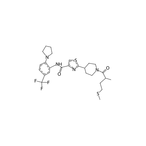 CSCCC(C)C(=O)N1CCC(c2nc(C(=O)Nc3cc(C(F)(F)F)ccc3N3CCCC3)cs2)CC1